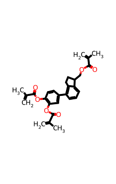 C=C(C)C(=O)OCC1CCc2c(-c3ccc(OC(=O)C(=C)C)c(OC(=O)C(=C)C)c3)cccc21